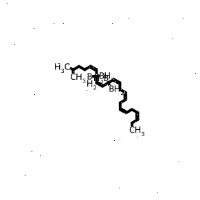 BC(B)(/C=C\C/C=C\C/C=C\C/C=C\CC)/C=C\C(B)(B)/C=C\CCC(C)C